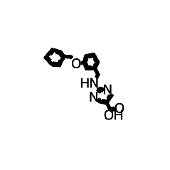 O=C(O)c1cnc(NCc2cccc(OCc3ccccc3)c2)nc1